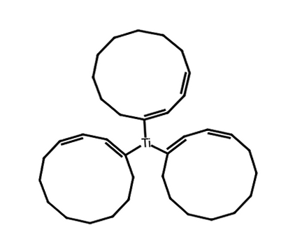 C1=CCCCCCCCC[C]([Ti]([C]2=CC=CCCCCCCCC2)[C]2=CC=CCCCCCCCC2)=C1